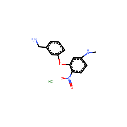 CNc1ccc([N+](=O)[O-])c(Oc2cccc(CN)c2)c1.Cl